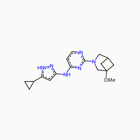 COC12CC(CN(c3nccc(Nc4cc(C5CC5)[nH]n4)n3)C1)C2